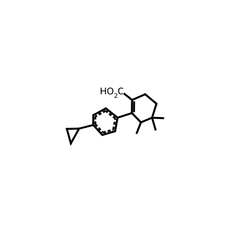 CC1C(c2ccc(C3CC3)cc2)=C(C(=O)O)CCC1(C)C